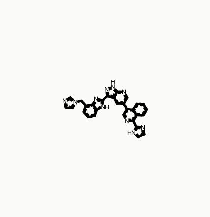 c1cc(Cn2ccnc2)c2nc(-c3n[nH]c4ncc(-c5cnc(-c6ncc[nH]6)c6ccccc56)cc34)[nH]c2c1